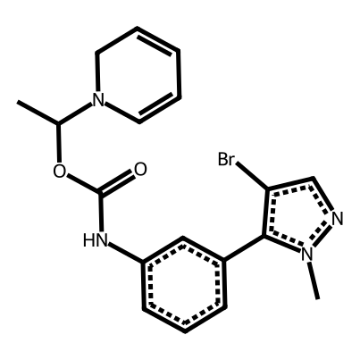 CC(OC(=O)Nc1cccc(-c2c(Br)cnn2C)c1)N1C=CC=CC1